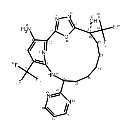 Nc1cc(C(F)(F)F)c2nc1-c1nnc(o1)[C@@](O)(C(F)(F)F)CCCCCC(c1ncccn1)N2